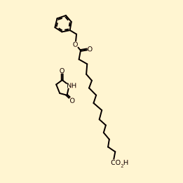 O=C(O)CCCCCCCCCCCCCCC(=O)OCc1ccccc1.O=C1CCC(=O)N1